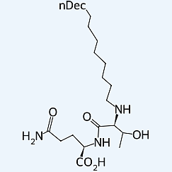 CCCCCCCCCCCCCCCCCCN[C@H](C(=O)N[C@H](CCC(N)=O)C(=O)O)C(C)O